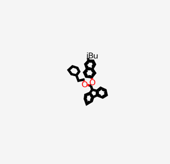 CCC(C)c1ccc2cc(OC(OCCC3CCCCC3)C3c4ccccc4-c4ccccc43)ccc2c1